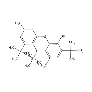 Cc1cc(Sc2cc(C)cc(C(C)(C)C)c2O[Si](C)(C)C)c(O)c(C(C)(C)C)c1